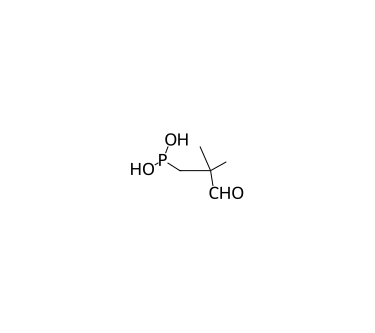 CC(C)(C=O)CP(O)O